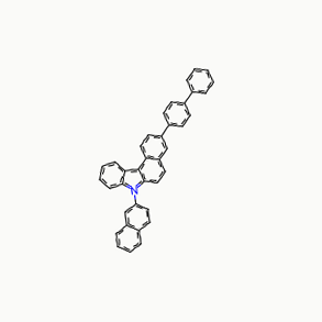 c1ccc(-c2ccc(-c3ccc4c(ccc5c4c4ccccc4n5-c4ccc5ccccc5c4)c3)cc2)cc1